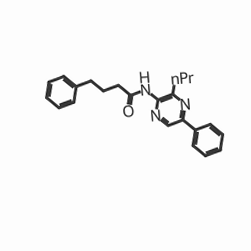 CCCc1nc(-c2ccccc2)cnc1NC(=O)CCCc1ccccc1